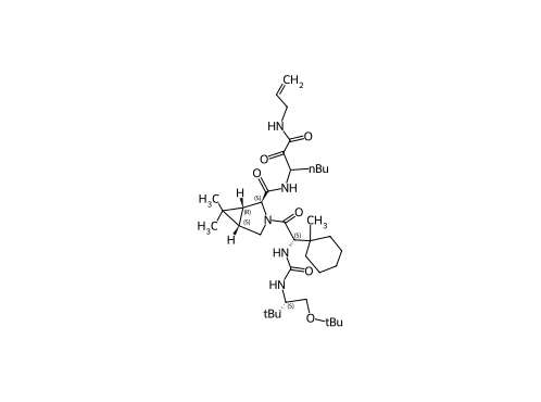 C=CCNC(=O)C(=O)C(CCCC)NC(=O)[C@@H]1[C@@H]2[C@H](CN1C(=O)[C@@H](NC(=O)N[C@H](COC(C)(C)C)C(C)(C)C)C1(C)CCCCC1)C2(C)C